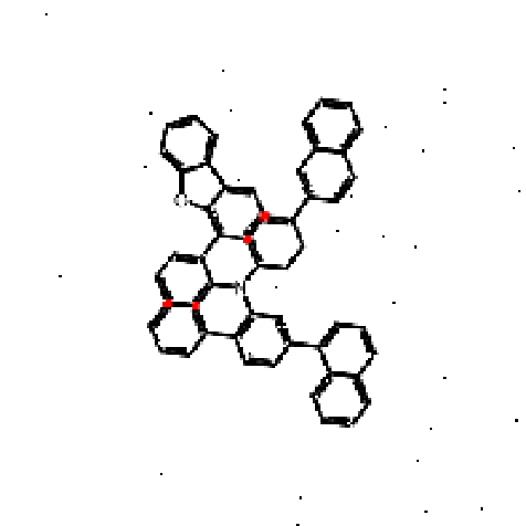 C1=C(c2ccc3ccccc3c2)CCC(N(c2cc(-c3cccc4ccccc34)ccc2-c2ccccc2)c2ccccc2-c2cccc3c2oc2ccccc23)=C1